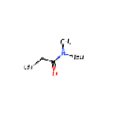 CN(C(=O)CC(C)(C)C)C(C)(C)C